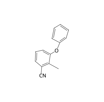 Cc1c(C#N)cccc1Oc1ccccc1